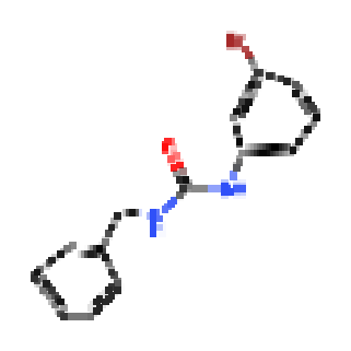 O=C(NCc1ccccc1)Nc1cccc(Br)c1